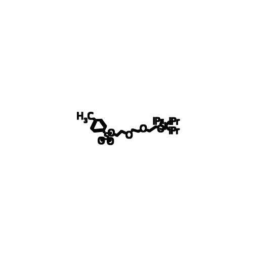 Cc1ccc(S(=O)(=O)OCCOCCOCCO[Si](C(C)C)(C(C)C)C(C)C)cc1